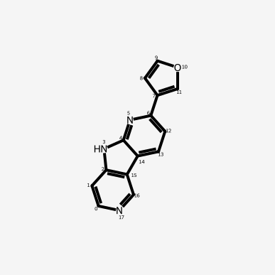 c1cc2[nH]c3nc(-c4ccoc4)ccc3c2cn1